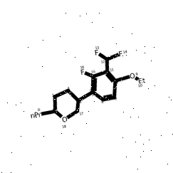 CCCC1CCC(c2ccc(OCC)c(C(F)F)c2F)CO1